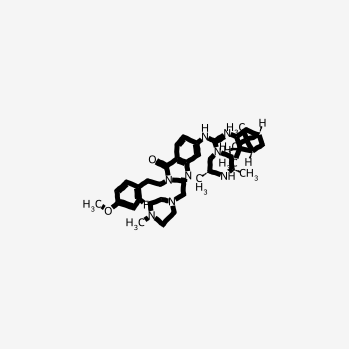 COc1ccc(CCn2c(CN3CCN(C)CC3)nc3cc(N/C(=N/C4C[C@H]5C[C@@H]([C@@H]4C)C5(C)C)N4C[C@@H](C)N[C@@H](C)C4)ccc3c2=O)c(F)c1